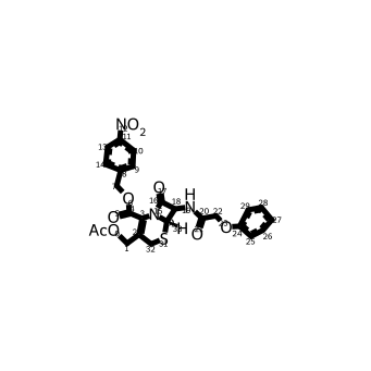 CC(=O)OCC1=C(C(=O)OCc2ccc([N+](=O)[O-])cc2)N2C(=O)C(NC(=O)COc3ccccc3)[C@@H]2SC1